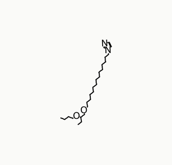 CCCCOC(CC)COCCCCCCCCCCCCCCCn1ccnc1